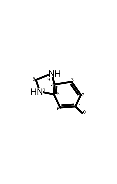 Cc1ccc2c(c1)N[CH]N2